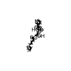 O=C(CCCC[C@@H]1CCSS1)OC[C@@H](O)COP(=O)(O)OC(=O)c1cccnc1